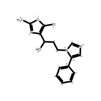 CCc1oc(C)nc1C(O)CCn1cncc1-c1ccccc1